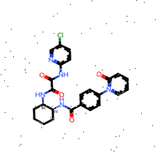 O=C(Nc1ccc(Cl)cn1)C(=O)N[C@@H]1CCCC[C@@H]1NC(=O)c1ccc(-n2ccccc2=O)cc1